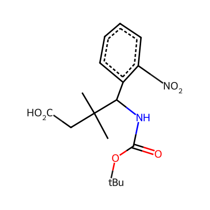 CC(C)(C)OC(=O)NC(c1ccccc1[N+](=O)[O-])C(C)(C)CC(=O)O